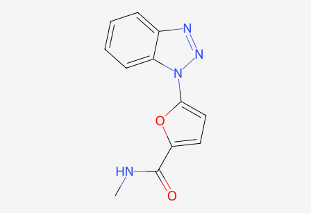 CNC(=O)c1ccc(-n2nnc3ccccc32)o1